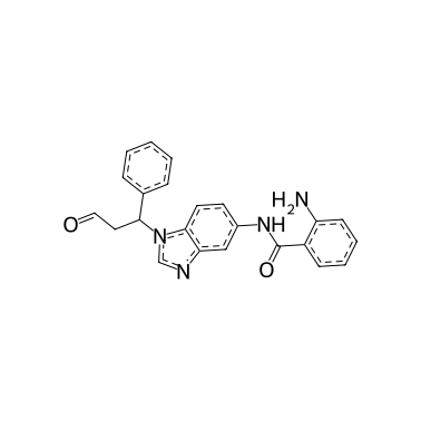 Nc1ccccc1C(=O)Nc1ccc2c(c1)ncn2C(CC=O)c1ccccc1